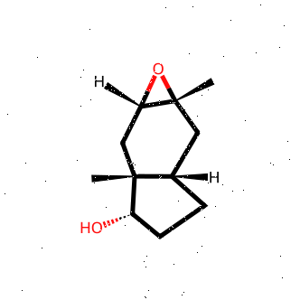 C[C@@]12C[C@@H]3O[C@]3(C)C[C@@H]1CC[C@@H]2O